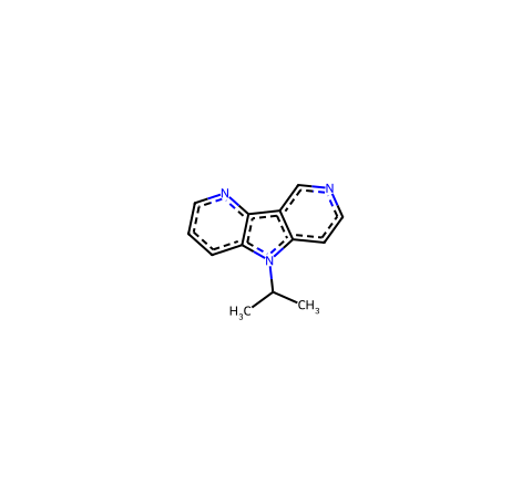 CC(C)n1c2ccncc2c2ncccc21